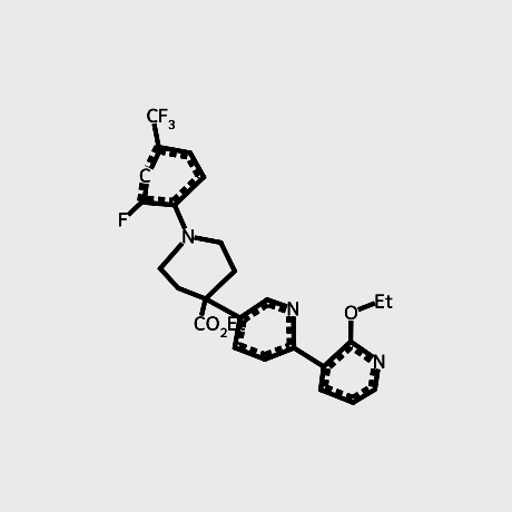 CCOC(=O)C1(c2ccc(-c3cccnc3OCC)nc2)CCN(c2ccc(C(F)(F)F)cc2F)CC1